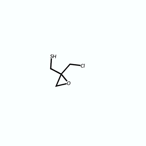 SCC1(CCl)CO1